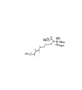 CCCCCCCC(CCCC)(CCCC)C(CCCCCCCC(=O)O)C(=O)O